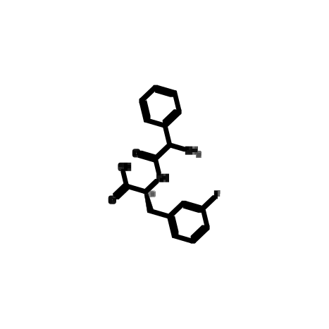 NC(C(=O)N[C@@H](Cc1cccc(F)c1)C(=O)O)c1ccccc1